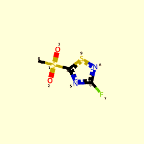 CS(=O)(=O)c1nc(F)ns1